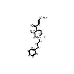 CO/C=C/C(=O)N1C[C@H](C)N(CCCc2ccccc2)C[C@H]1C